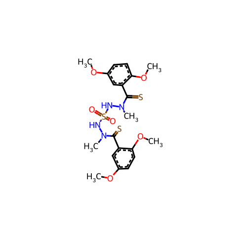 COc1ccc(OC)c(C(=S)N(C)NS(=O)(=O)NN(C)C(=S)c2cc(OC)ccc2OC)c1